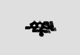 O=C(O)C(Cc1ccc(O)cc1)N(CP(=O)(O)O)CP(=O)(O)O